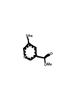 COC(=O)c1cncc(SC)c1